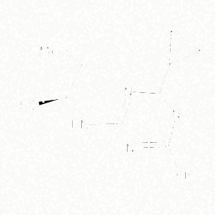 COC[C@H](C)Nc1nc(C2CC2)nc(C(F)(F)F)n1